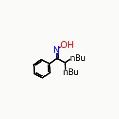 CCCCC(CCCC)C(=NO)c1ccccc1